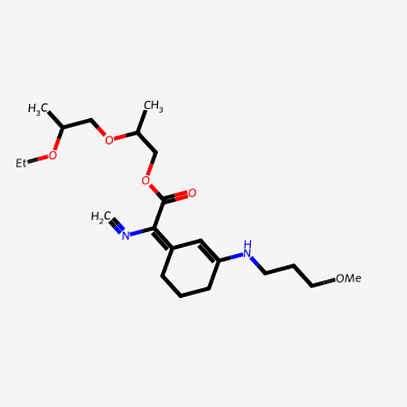 C=N/C(C(=O)OCC(C)OCC(C)OCC)=C1/C=C(NCCCOC)CCC1